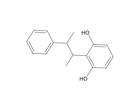 CC(c1ccccc1)C(C)c1c(O)cccc1O